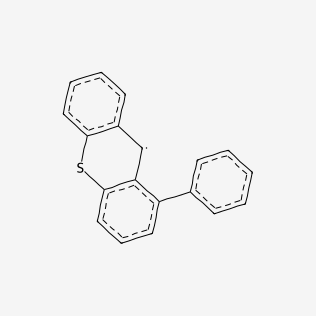 [CH]1c2ccccc2Sc2cccc(-c3ccccc3)c21